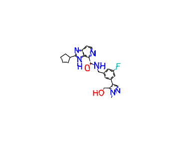 Cn1ncc(-c2cc(F)cc(CNC(=O)c3nccc4nc(C5CCCC5)[nH]c34)c2)c1CO